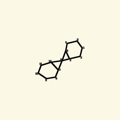 C1CCC2C(C1)C21C2CCCCC21